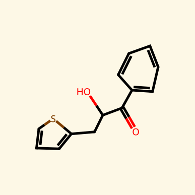 O=C(c1ccccc1)C(O)Cc1cccs1